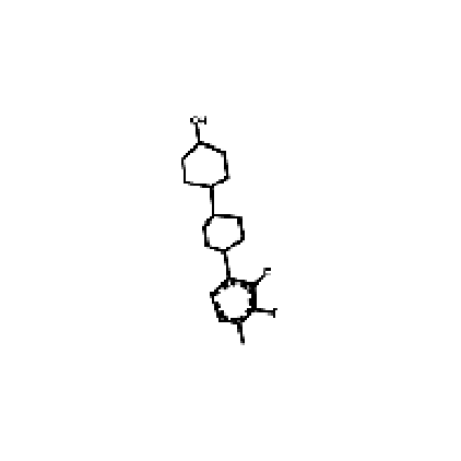 Cc1ccc(C2CCC(C3CCC(O)CC3)CC2)c(F)c1F